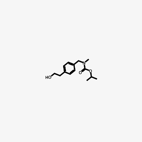 CC(C)OC(=O)N(C)Cc1ccc(CCO)cc1